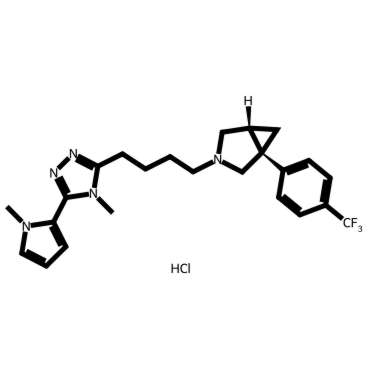 Cl.Cn1cccc1-c1nnc(CCCCN2C[C@@H]3C[C@]3(c3ccc(C(F)(F)F)cc3)C2)n1C